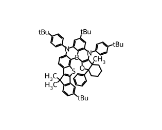 CC(C)(C)c1ccc(N2C3=C(OC4(c5ccccc5)CCCCC34C)B3c4c2cc(C(C)(C)C)cc4N(c2ccc(C(C)(C)C)cc2)c2ccc4c5c(sc4c23)-c2cc(C(C)(C)C)ccc2C5(C)C)cc1